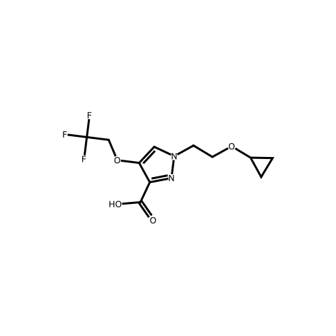 O=C(O)c1nn(CCOC2CC2)cc1OCC(F)(F)F